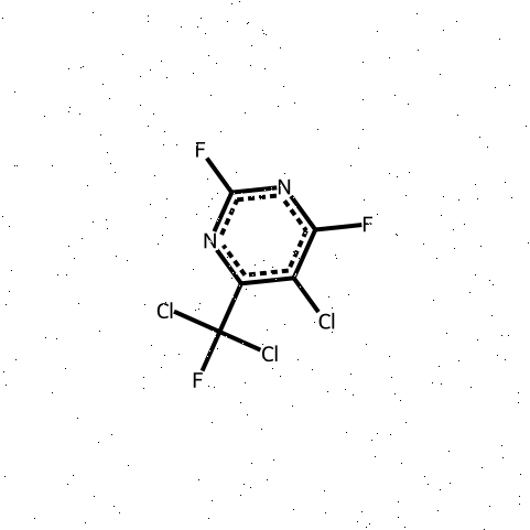 Fc1nc(F)c(Cl)c(C(F)(Cl)Cl)n1